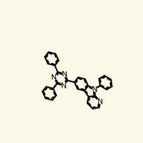 c1ccc(-c2nc(-c3ccccc3)nc(-c3ccc4c(c3)c3cccnc3n4-c3ccccc3)n2)cc1